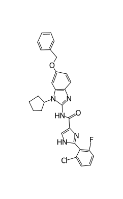 O=C(Nc1nc2ccc(OCc3ccccc3)cc2n1C1CCCC1)c1c[nH]c(-c2c(F)cccc2Cl)n1